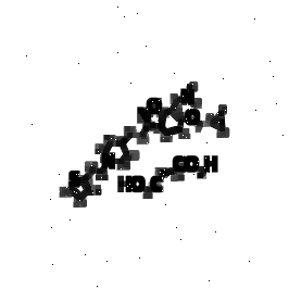 CN(C)Cc1c(OCC2CC2)ccc2c(CCC3CCN(CCc4cccs4)CC3)noc12.O=C(O)/C=C/C(=O)O